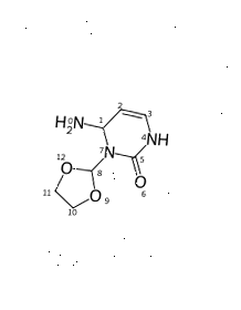 NC1C=CNC(=O)N1C1OCCO1